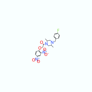 CC1CN(C(=O)COc2ccc([N+](=O)[O-])cc2[N+](=O)[O-])C(C)CN1Cc1ccc(F)cc1